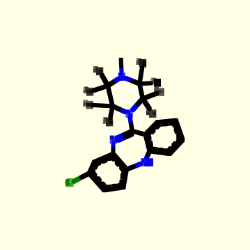 [2H]C1([2H])N(C)C([2H])([2H])C([2H])([2H])N(C2=Nc3cc(Cl)ccc3Nc3ccccc32)C1([2H])[2H]